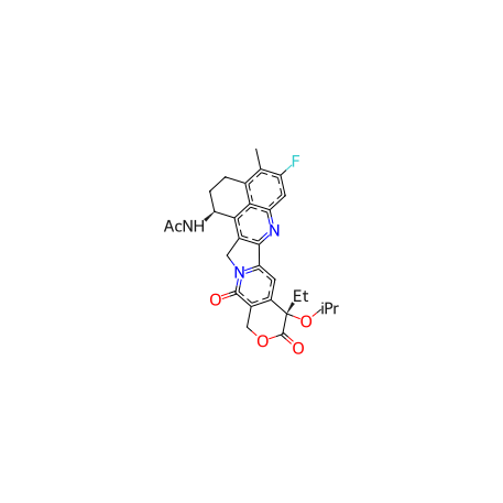 CC[C@@]1(OC(C)C)C(=O)OCc2c1cc1n(c2=O)Cc2c-1nc1cc(F)c(C)c3c1c2[C@@H](NC(C)=O)CC3